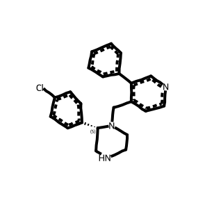 Clc1ccc([C@H]2CNCCN2Cc2ccncc2-c2ccccc2)cc1